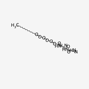 CCCCCCCCCCCCCCCCOCCOCCOCCOCCOCCOCCC(=O)NCCCC[C@H](NCC(=O)CCc1cnc[nH]1)C(N)=O